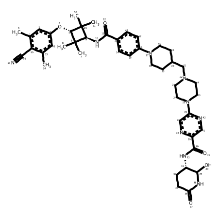 Cc1cc(O[C@H]2C(C)(C)[C@H](NC(=O)c3ccc(N4CCC(CN5CCN(c6cnc(C(=O)N[C@H]7CCC(=O)NC7O)cn6)CC5)CC4)cc3)C2(C)C)cc(C)c1C#N